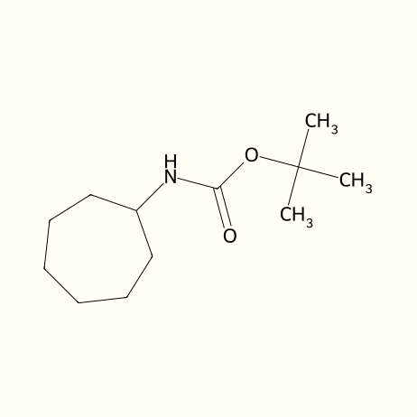 CC(C)(C)OC(=O)NC1CCCCCC1